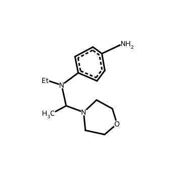 CCN(c1ccc(N)cc1)C(C)N1CCOCC1